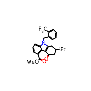 COC(=O)c1cccc2c1c1c(n2Cc2ccccc2C(F)(F)F)CC(C(C)C)CC1=O